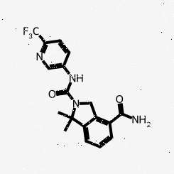 CC1(C)c2cccc(C(N)=O)c2CN1C(=O)Nc1ccc(C(F)(F)F)nc1